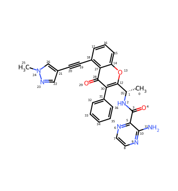 C[C@H](NC(=O)c1nccnc1N)c1oc2cccc(C#Cc3cnn(C)c3)c2c(=O)c1-c1ccccc1